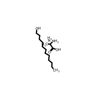 CC(N)C(=O)O.CCCCCCCCCCCCO.N